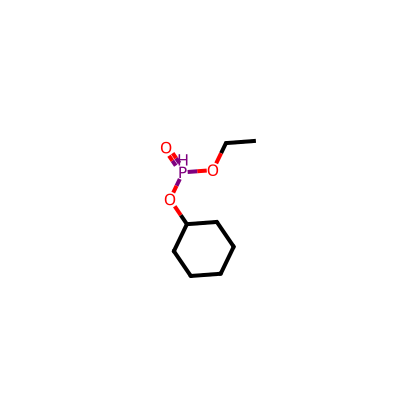 CCO[PH](=O)OC1CCCCC1